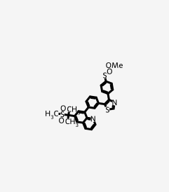 COOSc1ccc(-c2ncsc2-c2cccc(-c3cc(C(C)(C)S(C)(=O)=O)cc4cccnc34)c2)cc1